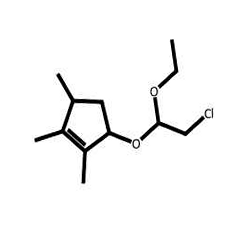 CCOC(CCl)OC1CC(C)C(C)=C1C